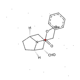 CC(C)(C)OC(=O)N1[C@H]2CC[C@@H]1[C@@H](C=O)N(Cc1ccccc1)C2